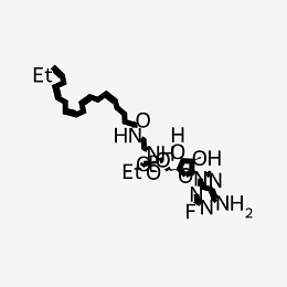 CC/C=C\C/C=C\C/C=C\C/C=C\C/C=C\CCCC(=O)NCCNP(=O)(OCC)OC[C@H]1OC(n2cnc3c(N)nc(F)nc32)[C@@H](O)[C@@H]1O